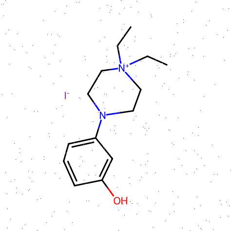 CC[N+]1(CC)CCN(c2cccc(O)c2)CC1.[I-]